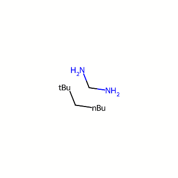 CCCCCC(C)(C)C.NCN